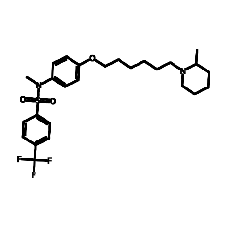 CC1CCCCN1CCCCCCOc1ccc(N(C)S(=O)(=O)c2ccc(C(F)(F)F)cc2)cc1